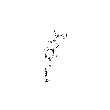 [N-]=[N+]=NCc1ccc2cn(C(=O)O)cc2c1